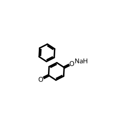 O=C1C=CC(=O)C=C1.[NaH].c1ccccc1